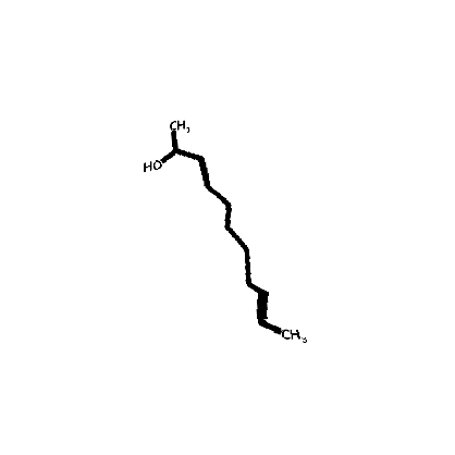 CC=CCCCCCCC(C)O